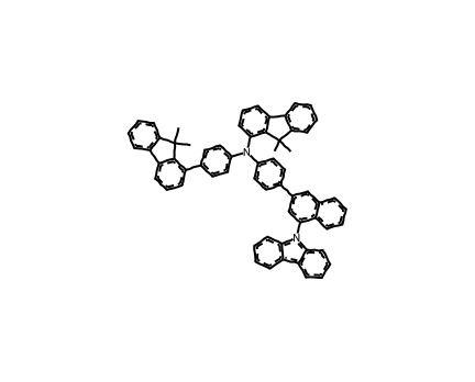 CC1(C)c2ccccc2-c2cccc(-c3ccc(N(c4ccc(-c5cc(-n6c7ccccc7c7ccccc76)c6ccccc6c5)cc4)c4cccc5c4C(C)(C)c4ccccc4-5)cc3)c21